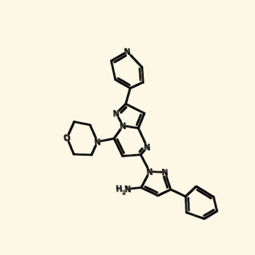 Nc1cc(-c2ccccc2)nn1-c1cc(N2CCOCC2)n2nc(-c3ccncc3)cc2n1